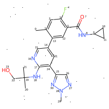 Cc1cc(F)c(C(=O)NC2CC2)cc1-c1cnc(NC(C)(C)CO)c(-c2cnn(C)n2)c1